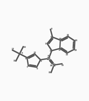 CC1=C[CH]([Zr]([CH]2C=CC(C(C)(C)C)=C2)=[Si](C)C)c2ccccc21